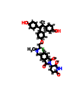 CCC(=C(c1ccc(O)cc1)c1ccc(OCCN(C)Cc2cc3c(cc2F)C(=O)N(C2CCC(=O)NC2=O)C3=O)cc1)c1ccc(O)cc1